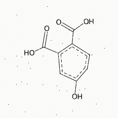 O=C(O)c1[c]cc(O)cc1C(=O)O